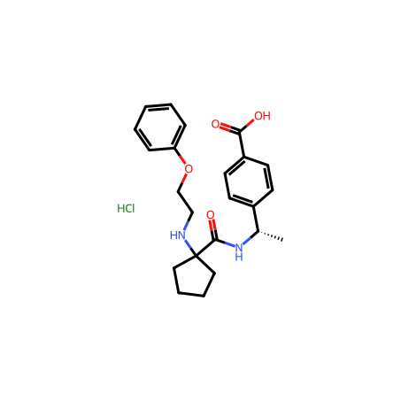 C[C@H](NC(=O)C1(NCCOc2ccccc2)CCCC1)c1ccc(C(=O)O)cc1.Cl